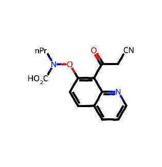 CCCN(Oc1ccc2cccnc2c1C(=O)CC#N)C(=O)O